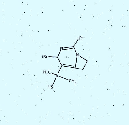 CC(C)C1=NC(C(C)(C)C)C(S(C)(C)S)=C2CCN12